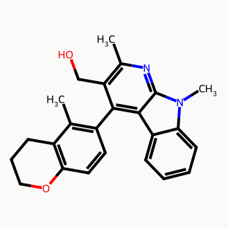 Cc1nc2c(c(-c3ccc4c(c3C)CCCO4)c1CO)c1ccccc1n2C